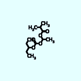 CCC(CC)OC(=O)OC(C)OC(=O)C(C)C